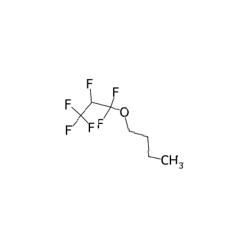 CCCCOC(F)(F)C(F)C(F)(F)F